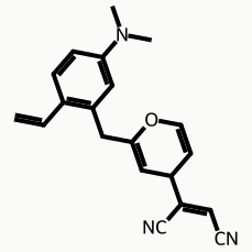 C=Cc1ccc(N(C)C)cc1CC1=CC(C(C#N)=CC#N)C=CO1